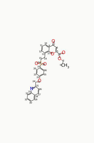 CCOC(=O)c1cc(=O)c2cccc(CCS(=O)(=O)c3ccc(OCc4ccc5ccccc5n4)cc3)c2o1